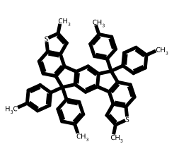 Cc1ccc(C2(c3ccc(C)cc3)c3cc4c(cc3-c3c2ccc2sc(C)cc32)C(c2ccc(C)cc2)(c2ccc(C)cc2)c2ccc3sc(C)cc3c2-4)cc1